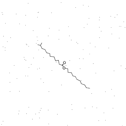 CCCCCCCCCCCOC(=O)CCCCCCCCCC(C)C